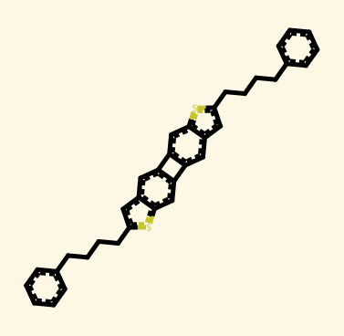 c1ccc(CCCCc2cc3cc4c(cc3s2)-c2cc3cc(CCCCc5ccccc5)sc3cc2-4)cc1